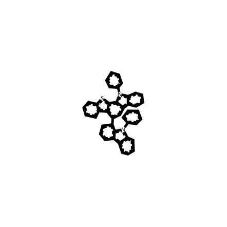 c1ccc(-n2c3ccccc3c3cccc(-c4cc5c6ccccc6n(-c6ccccc6)c5c5sc6ccccc6c45)c32)cc1